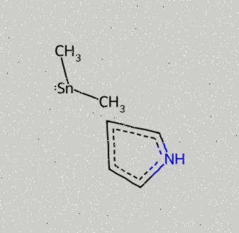 [CH3][Sn][CH3].c1cc[nH]c1